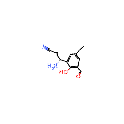 Cc1cc(C=O)c(O)c([C@H](N)CC#N)c1